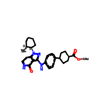 CC(C)(C)OC(=O)C1CCC(c2ccc(Nc3nn([C@H]4CCCC[C@@H]4C#N)c4cc[nH]c(=O)c34)cc2)CC1